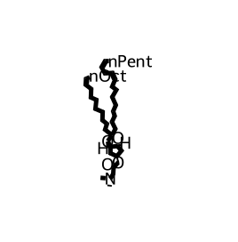 CCCCC/C=C\C/C=C\CCCCCCCCC1(CCCCCCCC/C=C\CCCCCCCC)O[C@H]2C[C@H](OC(=O)CN(C)C)C[C@H]2O1